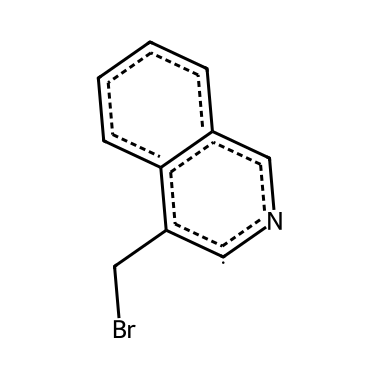 BrCc1[c]ncc2ccccc12